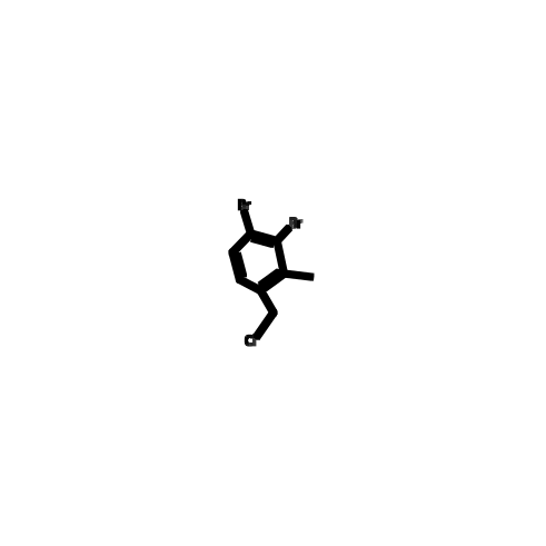 Cc1c(CCl)ccc(Br)c1Br